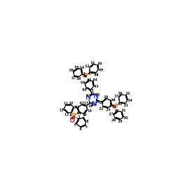 O=P(c1ccccc1)(c1ccccc1)c1ccc(-c2nc(-c3ccc(P(c4ccccc4)c4ccccc4)cc3)nc(-c3ccc(P(c4ccccc4)c4ccccc4)cc3)n2)cc1